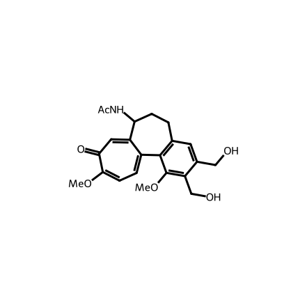 COc1c(CO)c(CO)cc2c1-c1ccc(OC)c(=O)cc1C(NC(C)=O)CC2